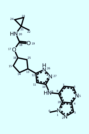 Cn1ncc2nccc(Nc3cc(C4CCC(OC(=O)NC5(C)CC5)C4)[nH]n3)c21